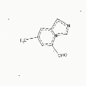 O=Cc1cc(C(F)(F)F)cc2cncn12